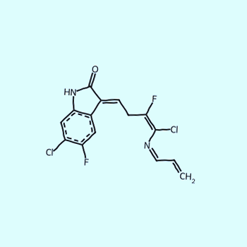 C=C/C=N\C(Cl)=C(\F)C/C=C1/C(=O)Nc2cc(Cl)c(F)cc21